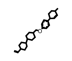 C=CC1CCC(C2CCC(COc3ccc(C4C=CC(C)CC4)cc3)CC2)CC1